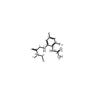 C=C(CNc1cc(C)cc(F)c1NC(=O)O)N(C)CC